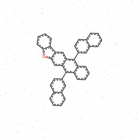 c1ccc2cc(-c3c4ccccc4c(-c4ccc5ccccc5c4)c4cc5c(cc34)oc3ccccc35)ccc2c1